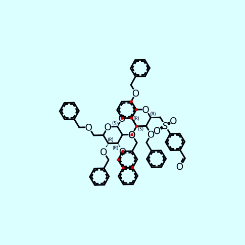 O=Cc1ccc(S(=O)(=O)C[C@@H]2OC(COCc3ccccc3)[C@@H](O[C@@H]3OC(COCc4ccccc4)[C@@H](OCc4ccccc4)[C@@H](OCc4ccccc4)C3OCc3ccccc3)[C@@H](OCc3ccccc3)C2OCc2ccccc2)cc1